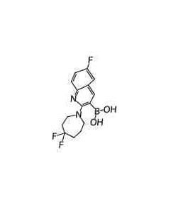 OB(O)c1cc2cc(F)ccc2nc1N1CCCC(F)(F)CC1